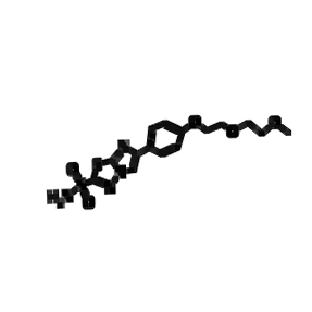 COCCOCCOc1ccc(-c2cn3nc(S(N)(=O)=O)sc3n2)cc1